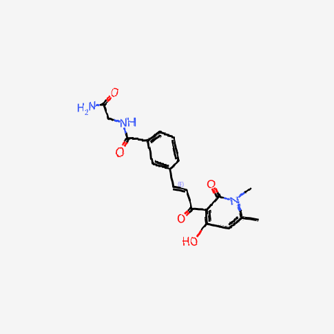 Cc1cc(O)c(C(=O)/C=C/c2cccc(C(=O)NCC(N)=O)c2)c(=O)n1C